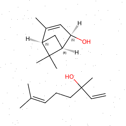 C=CC(C)(O)CCC=C(C)C.CC1=C[C@@H](O)[C@@H]2C[C@H]1C2(C)C